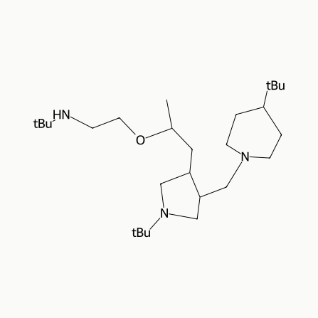 CC(CC1CN(C(C)(C)C)CC1CN1CCC(C(C)(C)C)CC1)OCCNC(C)(C)C